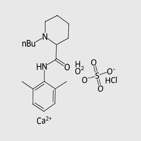 CCCCN1CCCCC1C(=O)Nc1c(C)cccc1C.Cl.O.O=S(=O)([O-])[O-].[Ca+2]